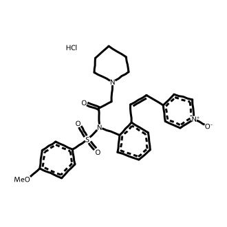 COc1ccc(S(=O)(=O)N(C(=O)CN2CCCCC2)c2ccccc2C=Cc2cc[n+]([O-])cc2)cc1.Cl